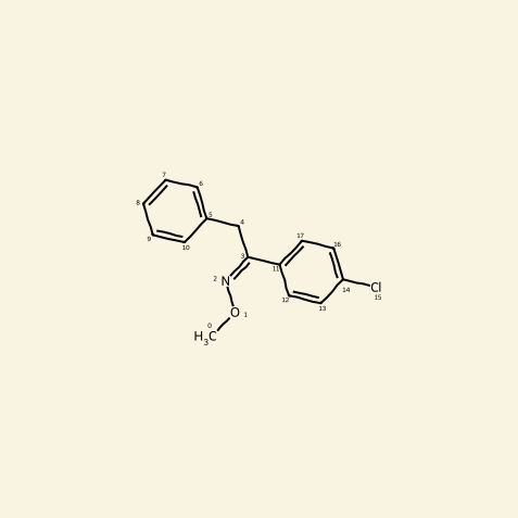 CON=C(Cc1ccccc1)c1ccc(Cl)cc1